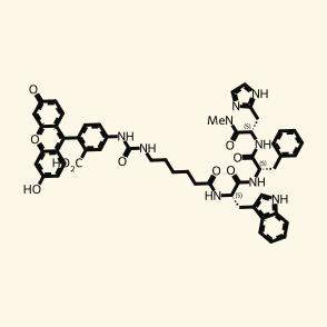 CNC(=O)[C@H](Cc1ncc[nH]1)NC(=O)[C@H](Cc1ccccc1)NC(=O)[C@H](Cc1c[nH]c2ccccc12)NC(=O)CCCCCNC(=O)Nc1ccc(-c2c3ccc(=O)cc-3oc3cc(O)ccc23)c(C(=O)O)c1